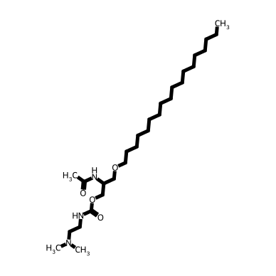 CCCCCCCCCCCCCCCCCCOCC(COC(=O)NCCN(C)C)NC(C)=O